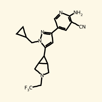 N#Cc1cc(-c2cc(C3C4CN(CC(F)(F)F)CC43)n(CC3CC3)n2)cnc1N